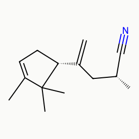 C=C(C[C@@H](C)C#N)[C@H]1CC=C(C)C1(C)C